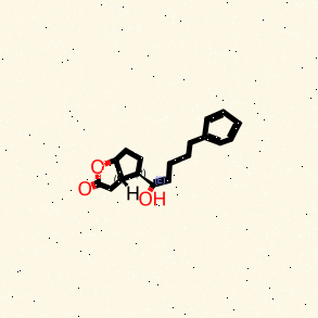 O=C1C[C@@H]2C(CC[C@H]2/C(O)=C\CCCc2ccccc2)O1